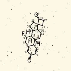 C[C@]12C=CC(=O)C=C1C[C@@H](F)[C@@H]1[C@@H]2CC[C@@]2(C)[C@H]1CC[C@@]21CCC1=O